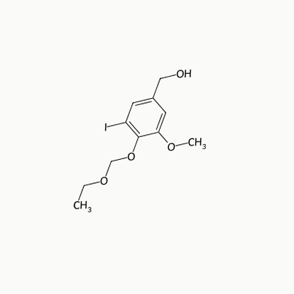 CCOCOc1c(I)cc(CO)cc1OC